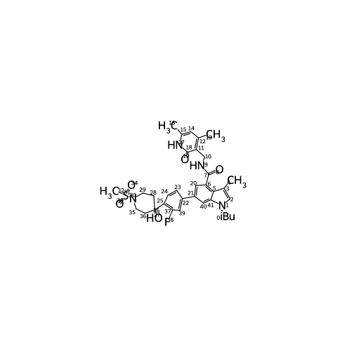 CC[C@H](C)n1cc(C)c2c(C(=O)NCc3c(C)cc(C)[nH]c3=O)cc(-c3ccc(C4(O)CCN(S(C)(=O)=O)CC4)c(F)c3)cc21